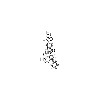 CC(=O)Nc1ccc(C(=O)Nc2ccc(-c3ccccc3)c3c2C(=O)NCC3)cc1